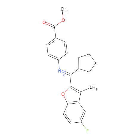 COC(=O)c1ccc(/N=C(/c2oc3ccc(F)cc3c2C)C2CCCC2)cc1